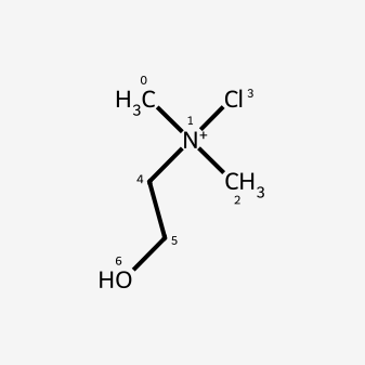 C[N+](C)(Cl)CCO